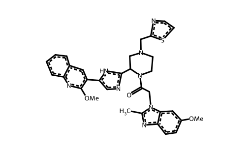 COc1ccc2nc(C)n(CC(=O)N3CCN(Cc4nccs4)CC3c3ncc(-c4cc5ccccc5nc4OC)[nH]3)c2c1